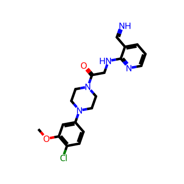 COc1cc(N2CCN(C(=O)CNc3ncccc3C=N)CC2)ccc1Cl